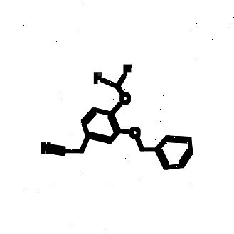 N#CCc1ccc(OC(F)F)c(OCc2ccccc2)c1